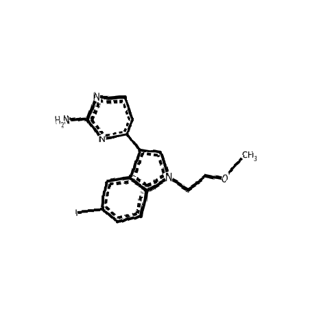 COCCn1cc(-c2ccnc(N)n2)c2cc(I)ccc21